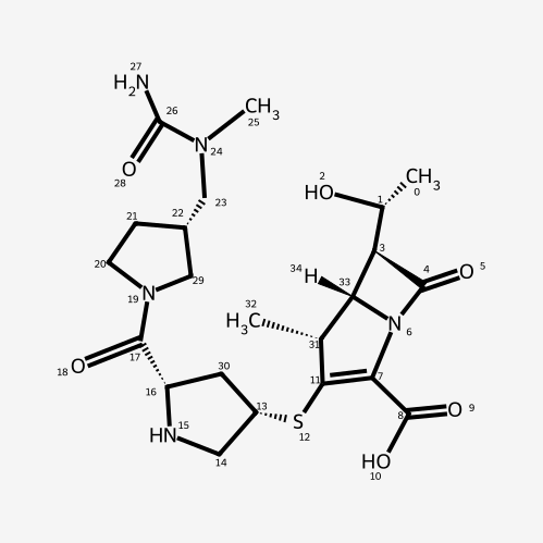 C[C@@H](O)[C@H]1C(=O)N2C(C(=O)O)=C(S[C@@H]3CN[C@H](C(=O)N4CC[C@H](CN(C)C(N)=O)C4)C3)[C@H](C)[C@H]12